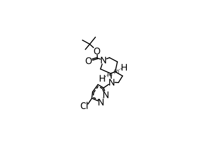 CC(C)(C)OC(=O)N1CC[C@H]2CCN(c3ccc(Cl)nn3)[C@H]2C1